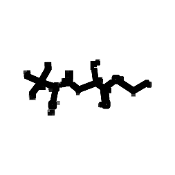 CCOC(=O)C(F)CN[S+]([O-])C(C)(C)C